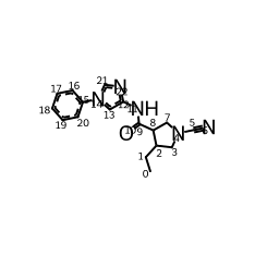 CCC1CN(C#N)CC1C(=O)Nc1cn(-c2ccccc2)cn1